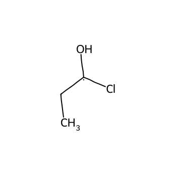 CC[C](O)Cl